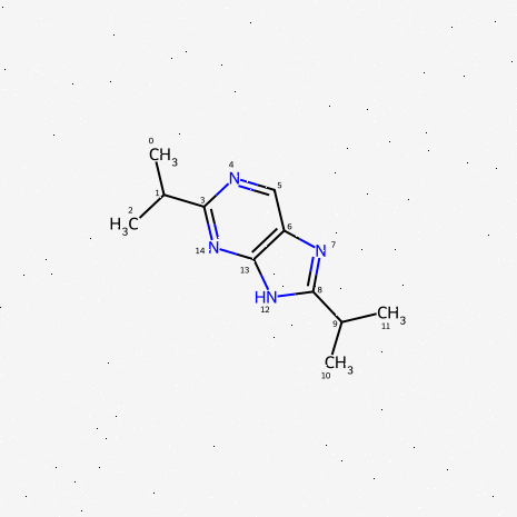 CC(C)c1ncc2nc(C(C)C)[nH]c2n1